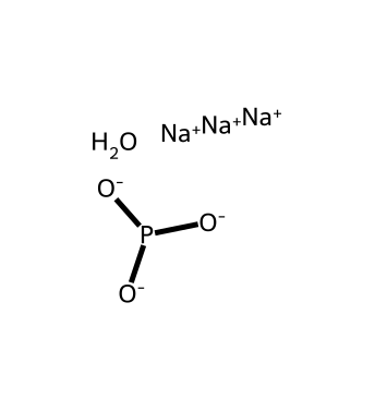 O.[Na+].[Na+].[Na+].[O-]P([O-])[O-]